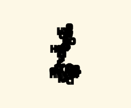 COc1cc(CCN2CCC(O)(c3ccc4c(c3)CN(C3CCC(=O)NC3=O)C4=O)CC2)c(C)cc1Nc1ncc(Cl)c(Nc2ccccc2S(=O)(=O)C(C)C)n1